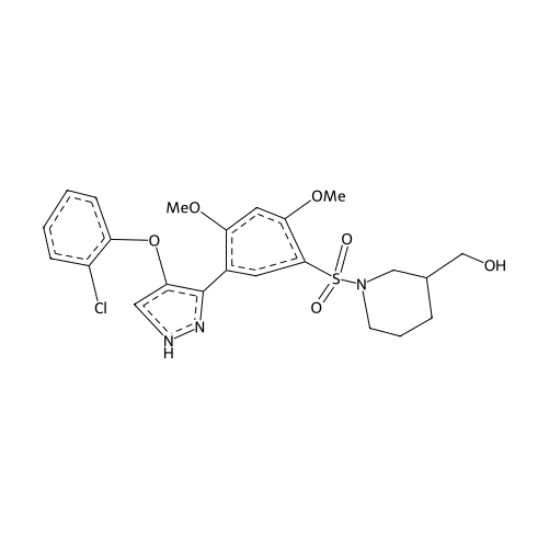 COc1cc(OC)c(S(=O)(=O)N2CCCC(CO)C2)cc1-c1n[nH]cc1Oc1ccccc1Cl